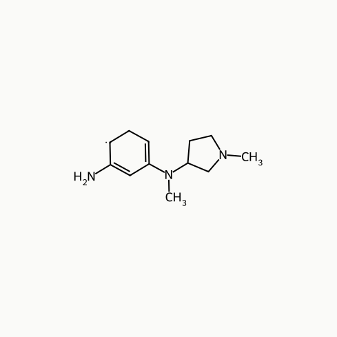 CN1CCC(N(C)C2=CC[CH]C(N)=C2)C1